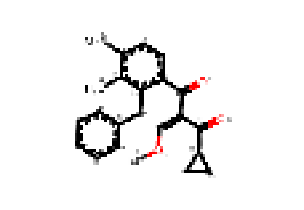 CCOC=C(C(=O)c1ccc(SC)c(C)c1Cc1ccccc1)C(=O)C1CC1